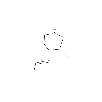 C/C=C/C1CCNCC1C